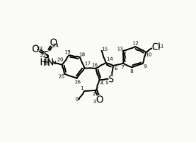 CCC(=O)c1sc(-c2ccc(Cl)cc2)c(C)c1-c1ccc(N[SH](=O)=O)cc1